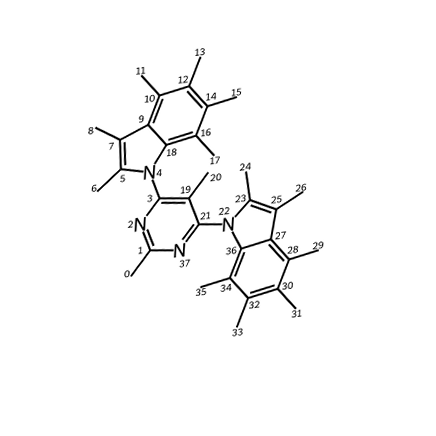 Cc1nc(-n2c(C)c(C)c3c(C)c(C)c(C)c(C)c32)c(C)c(-n2c(C)c(C)c3c(C)c(C)c(C)c(C)c32)n1